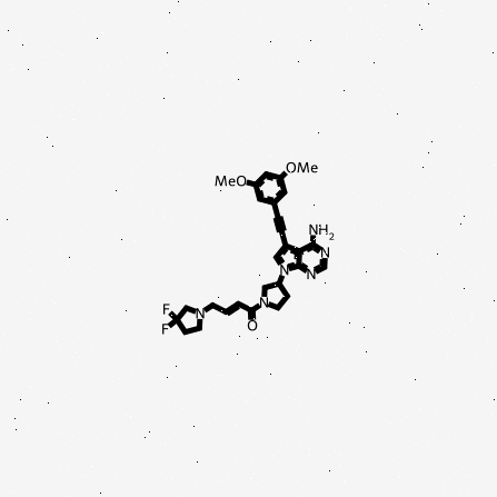 COc1cc(C#Cc2cn(C3CCN(C(=O)C=CCN4CCC(F)(F)C4)C3)c3ncnc(N)c23)cc(OC)c1